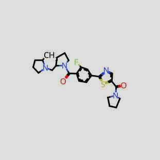 CC1CCCN1CC1CCCN1C(=O)c1ccc(-c2ncc(C(=O)N3CCCC3)s2)cc1F